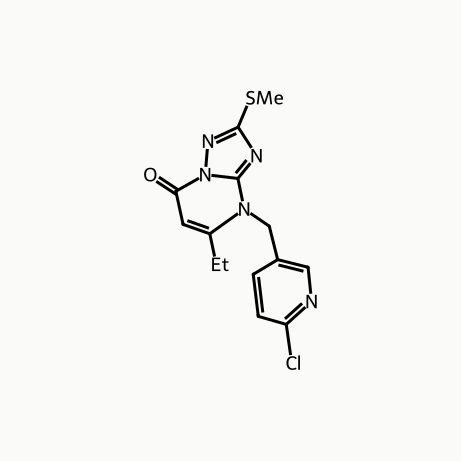 CCc1cc(=O)n2nc(SC)nc2n1Cc1ccc(Cl)nc1